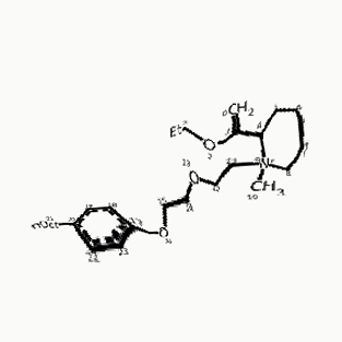 C=C(OCC)C1CCCC[N+]1(C)CCOCCOc1ccc(CCCCCCCC)cc1